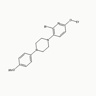 CCOc1ccc(N2CCN(c3ccc(OC)cc3)CC2)c(Br)n1